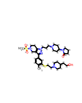 CS(=O)(=O)N1CCc2c(c(-c3ccc(C(F)(F)F)c(SCCN4CCC(CCO)CC4)c3)nn2CCCN2CCC(N3CCCC3=O)CC2)C1